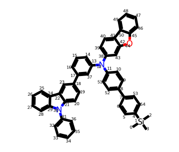 C[Si](C)(C)c1ccc(-c2ccc(N(c3cccc(-c4ccc5c(c4)c4ccccc4n5-c4ccccc4)c3)c3ccc4c(c3)oc3ccccc34)cc2)cc1